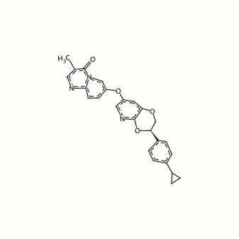 Cc1cnc2ccc(Oc3cnc4c(c3)OC[C@@H](c3ccc(C5CC5)cc3)O4)cn2c1=O